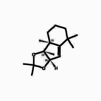 CC1(C)O[C@@H]2C=C3C(C)(C)CCC[C@]3(C)[C@]2(C)O1